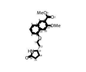 COC(=O)c1cc2cccc(OCC[C@@H]3CCC(=O)N3)c2cc1OC